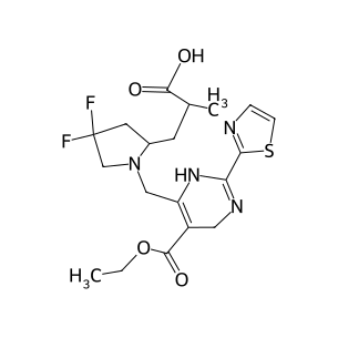 CCOC(=O)C1=C(CN2CC(F)(F)CC2CC(C)C(=O)O)NC(c2nccs2)=NC1